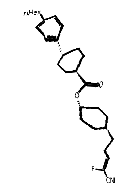 CCCCCCc1ccc([C@H]2CC[C@H](C(=O)O[C@H]3CC[C@H](CCC=C(F)C#N)CC3)CC2)cc1